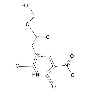 CCOC(=O)Cn1cc([N+](=O)[O-])c(=O)[nH]c1=O